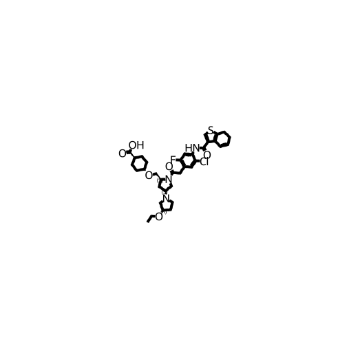 CCO[C@@H]1CCN([C@H]2C[C@@H](CO[C@H]3CC[C@H](C(=O)O)CC3)N(C(=O)Cc3cc(Cl)c(NC(=O)c4csc5c4C=CCC5)cc3F)C2)C1